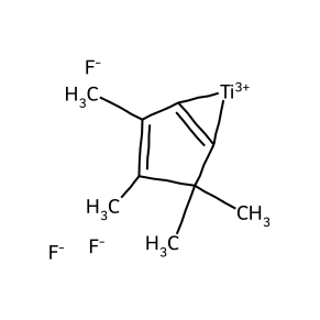 CC1=C(C)C(C)(C)[C]2=[C]1[Ti+3]2.[F-].[F-].[F-]